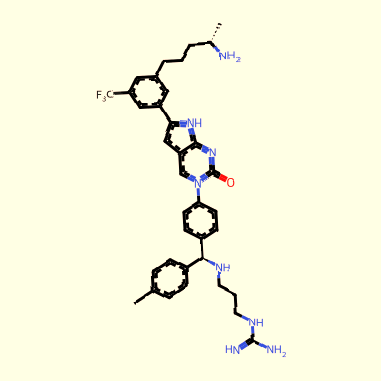 Cc1ccc([C@H](NCCCNC(=N)N)c2ccc(-n3cc4cc(-c5cc(CCC[C@H](C)N)cc(C(F)(F)F)c5)[nH]c4nc3=O)cc2)cc1